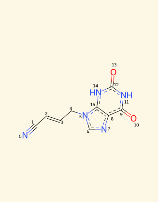 N#CC=CCn1cnc2c(=O)[nH]c(=O)[nH]c21